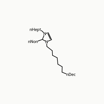 CCCCCCCCCCCCCCCCCN1C=CN(CCCCCCC)C1CCCCCCCCC